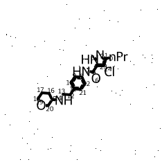 CCCc1n[nH]c(C(=O)Nc2ccc(CCNC3CCCOC3)cc2)c1Cl